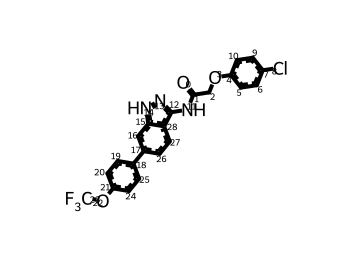 O=C(COc1ccc(Cl)cc1)Nc1n[nH]c2cc(-c3ccc(OC(F)(F)F)cc3)ccc12